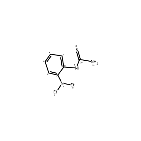 CCN(CC)c1ccccc1NC(N)=S